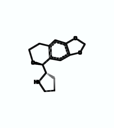 c1c2c(cc3c1OCO3)[C@@H]([C@@H]1CCCN1)OCC2